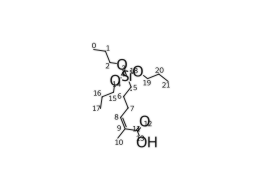 CCCO[Si]([CH]CCC=C(C)C(=O)O)(OCCC)OCCC